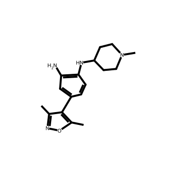 Cc1noc(C)c1-c1ccc(NC2CCN(C)CC2)c(N)c1